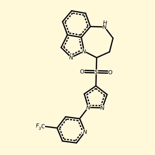 O=S(=O)(c1cnn(-c2cc(C(F)(F)F)ccn2)c1)C1CCNc2cccc3cnn1c23